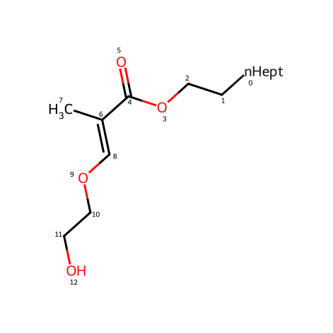 CCCCCCCCCOC(=O)C(C)=COCCO